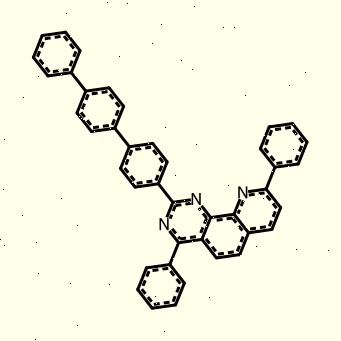 c1ccc(-c2ccc(-c3ccc(-c4nc(-c5ccccc5)c5ccc6ccc(-c7ccccc7)nc6c5n4)cc3)cc2)cc1